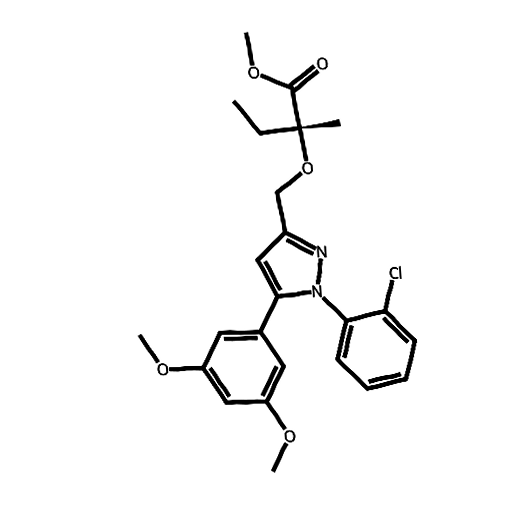 CC[C@@](C)(OCc1cc(-c2cc(OC)cc(OC)c2)n(-c2ccccc2Cl)n1)C(=O)OC